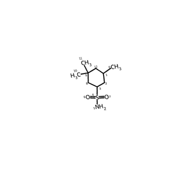 CC1CC(S(N)(=O)=O)CC(C)(C)C1